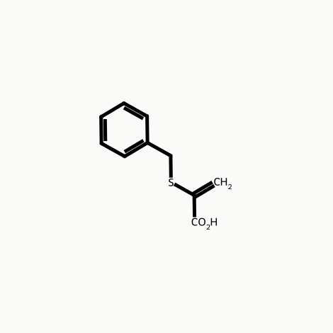 C=C(SCc1ccccc1)C(=O)O